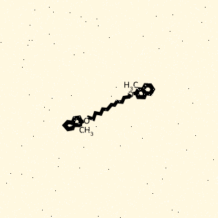 Cc1c(OCCCCCCCCCCCCOc2ccc3ccccc3c2C)ccc2ccccc12